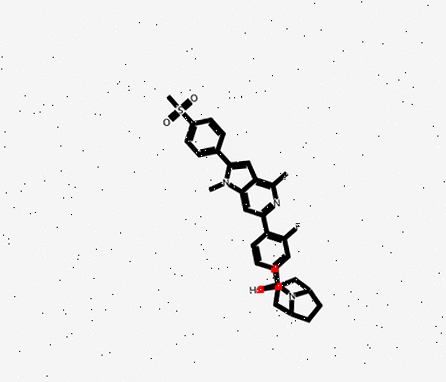 Cc1nc(-c2ccc(C3(O)CC4CCC(C3)N4C(C)C)cc2F)cc2c1cc(-c1ccc(S(C)(=O)=O)cc1)n2C